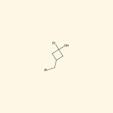 CCC1(O)CC(CC(C)C)C1